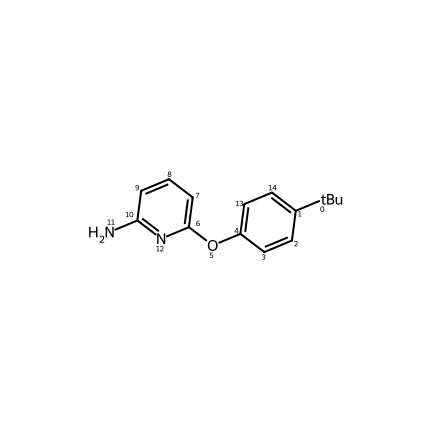 CC(C)(C)c1ccc(Oc2cccc(N)n2)cc1